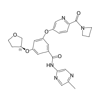 Cc1cnc(NC(=O)c2cc(Oc3ccc(C(=O)N4CCC4)nc3)cc(O[C@H]3CCOC3)c2)cn1